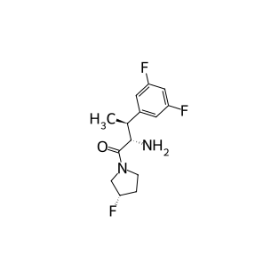 C[C@@H](c1cc(F)cc(F)c1)[C@H](N)C(=O)N1CC[C@H](F)C1